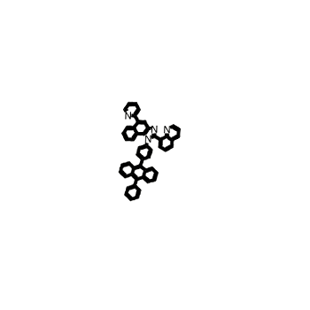 c1ccc(-c2c3ccccc3c(-c3ccc(-n4c(-c5cccc6cccnc56)nc5cc(-c6ccccn6)c6ccccc6c54)cc3)c3ccccc23)cc1